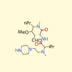 CCCC(C(CC=O)OC)N(C)C(=O)CNC(=O)C(C(C)C)N(C)CCN1CCNCC1